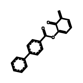 C=C1C=CC=C(OC(=O)c2ccc(-c3ccccc3)cc2)C1=O